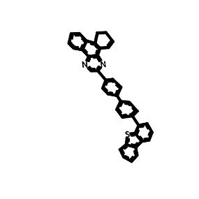 C1=Cc2c(c3ccccc3c3ncc(-c4ccc(-c5ccc(-c6cccc7c6sc6ccccc67)cc5)cc4)nc23)CC1